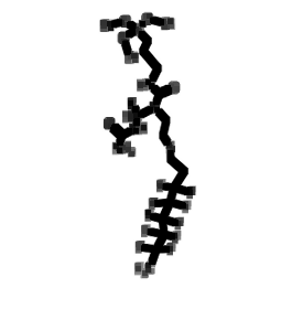 CCO[Si](CCCNC(=O)N(CCSCCC(F)(F)C(F)(F)C(F)(F)C(F)(F)C(F)(F)C(F)(F)F)[SiH](F)NC(N)=O)(OCC)OCC